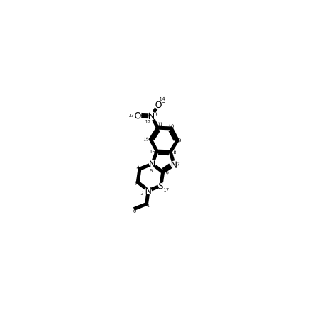 CCN1CCn2c(nc3ccc([N+](=O)[O-])cc32)S1